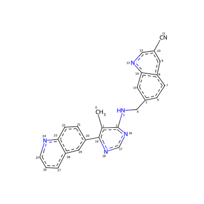 Cc1c(NCc2ccc3cc(C#N)cnc3c2)ncnc1-c1ccc2ncccc2c1